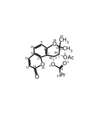 CC(=O)O[C@@H]1[C@H](OC(=O)C(C)C)c2c(ccc3ccc(=O)oc23)OC1(C)C